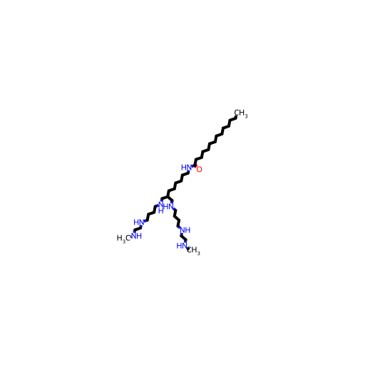 CCCCCCCCCCCCCC(=O)NCCCCCCC(CNCCCCNCCNC)CNCCCCNCCNC